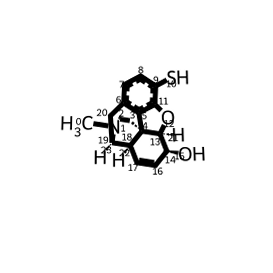 CN1CC[C@]23c4c5ccc(S)c4O[C@H]2[C@@H](O)C=C[C@H]3[C@H]1C5